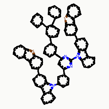 c1ccc(-c2ccc(-c3cccc(-c4cc(-c5cccc(-n6c7ccccc7c7ccc(-c8ccc9sc%10ccccc%10c9c8)cc76)c5)nc(-n5c6ccccc6c6ccc(-c7ccc8sc9ccccc9c8c7)cc65)n4)c3)cc2-c2ccccc2)cc1